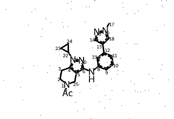 CC(=O)N1CCc2c(c(Nc3cccc(-c4cnn(C)c4)c3)nn2C2CC2)C1